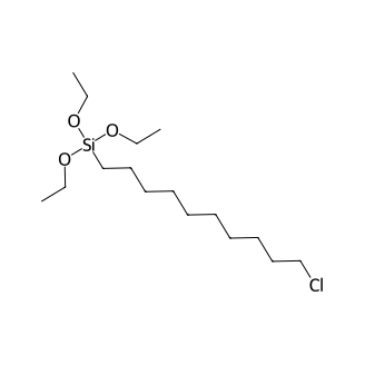 CCO[Si](CCCCCCCCCCCl)(OCC)OCC